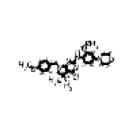 COc1ccc(CN2CC(C)(C)c3c(Cl)nc(Nc4ccc(N5CCOCC5)cc4OC)nc32)cc1